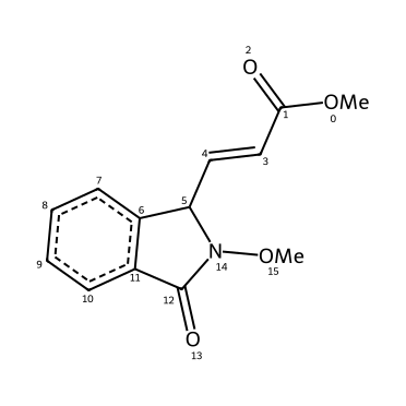 COC(=O)/C=C/C1c2ccccc2C(=O)N1OC